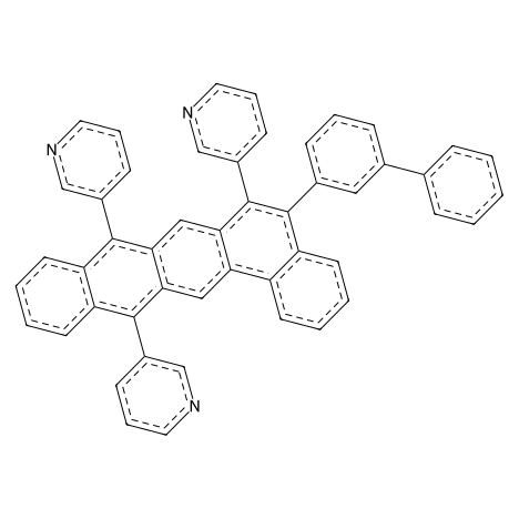 c1ccc(-c2cccc(-c3c(-c4cccnc4)c4cc5c(-c6cccnc6)c6ccccc6c(-c6cccnc6)c5cc4c4ccccc34)c2)cc1